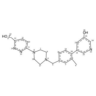 Cc1cc(CN2CCN(c3ccc(C(=O)O)nn3)CC2)ccc1-c1cncc(O)c1